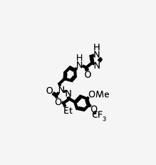 CCC1OC(=O)N(Cc2ccc(NC(=O)c3c[nH]cn3)cc2)N=C1c1ccc(OC(F)(F)F)c(OC)c1